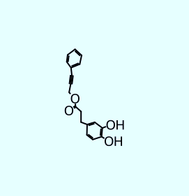 O=C(CCc1ccc(O)c(O)c1)OCC#Cc1ccccc1